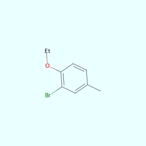 CCOc1ccc(C)cc1Br